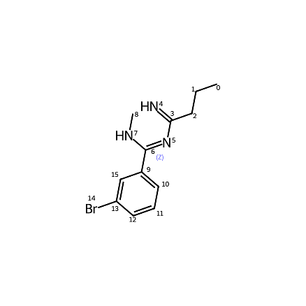 CCCC(=N)/N=C(\NC)c1cccc(Br)c1